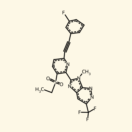 CCS(=O)(=O)c1ccc(C#Cc2cccc(F)c2)nc1-c1nc2cc(C(F)(F)F)nnc2n1C